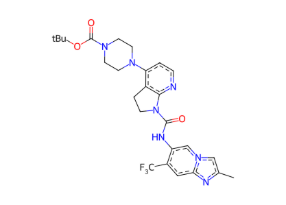 Cc1cn2cc(NC(=O)N3CCc4c(N5CCN(C(=O)OC(C)(C)C)CC5)ccnc43)c(C(F)(F)F)cc2n1